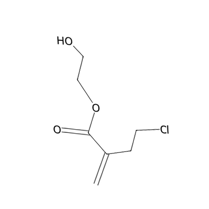 C=C(CCCl)C(=O)OCCO